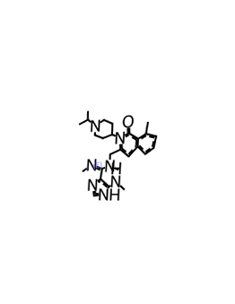 C/N=C(\c1nc[nH]c1NC)N(C)Cc1cc2cccc(C)c2c(=O)n1C1CCN(C(C)C)CC1